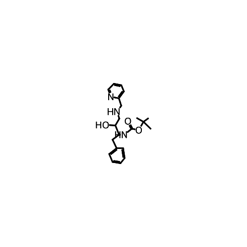 CC(C)(C)OC(=O)NC(Cc1ccccc1)C(O)CNCc1ccccn1